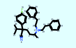 CC(CCC(C#N)(c1ccc(F)cc1)C(C)C)N(CCc1ccccc1)CCc1ccccc1